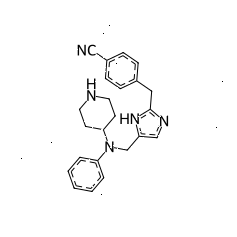 N#Cc1ccc(Cc2ncc(CN(c3ccccc3)C3CCNCC3)[nH]2)cc1